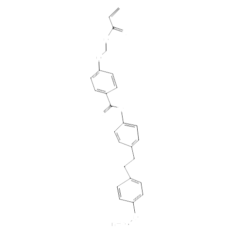 C=CC(=O)OCOc1ccc(C(=O)Oc2ccc(CCc3ccc(OCCCCCC)cc3)cc2)cc1